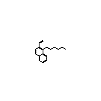 C=Cc1ccc2ccccc2c1CCCCCC